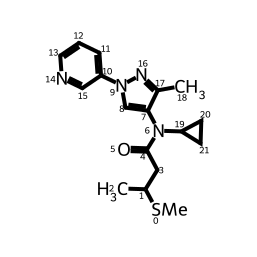 CSC(C)CC(=O)N(c1cn(-c2cccnc2)nc1C)C1CC1